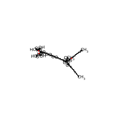 CCCCCCCCCCCCCCCC(=O)OCC(COC(C)=O)(COC(=O)CCCCCCCCCCCCCCC)C(=O)OCCCCCCCOCCOCCOCCOCCOC(=O)CN(CCN(CC(=O)O)CC(=O)O)CCN(CC(=O)O)CC(=O)O